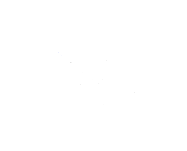 CC1CC2C3CC4(N)CC(C3C)C(C)(C1)C2C4